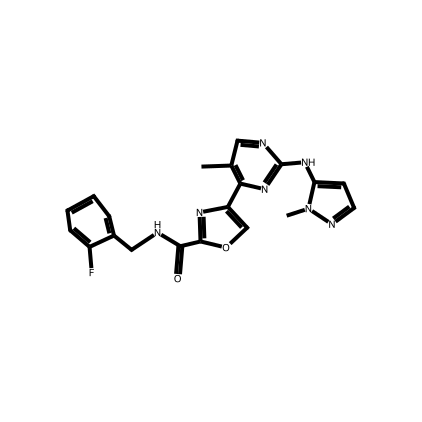 Cc1cnc(Nc2ccnn2C)nc1-c1coc(C(=O)NCc2ccccc2F)n1